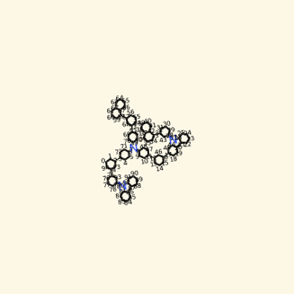 c1cc(-c2ccc(N(c3ccc(-c4cccc(-c5ccc6c7ccccc7n(-c7cccc(-c8cccc9ccccc89)c7)c6c5)c4)cc3)c3ccc(-c4cccc(-c5cccc6ccccc56)c4)cc3)cc2)cc(-c2cccc(-n3c4ccccc4c4ccccc43)c2)c1